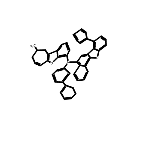 CC1CC=Cc2oc3c(N(c4cccc(C5=CC=CCC5)c4)c4cc5c(oc6cccc(-c7ccccc7)c65)c5ccccc45)cccc3c2C1